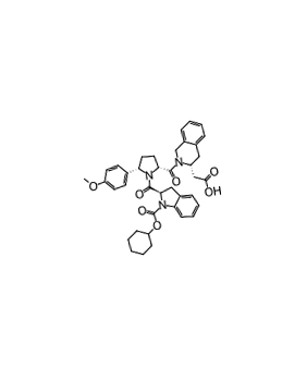 COc1ccc([C@@H]2CC[C@H](C(=O)N3Cc4ccccc4C[C@@H]3CC(=O)O)N2C(=O)[C@H]2Cc3ccccc3N2C(=O)OC2CCCCC2)cc1